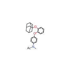 CC(=O)N(C)c1ccc(Oc2ccccc2OC23CC4CC(CC(C4)C2)C3)cc1